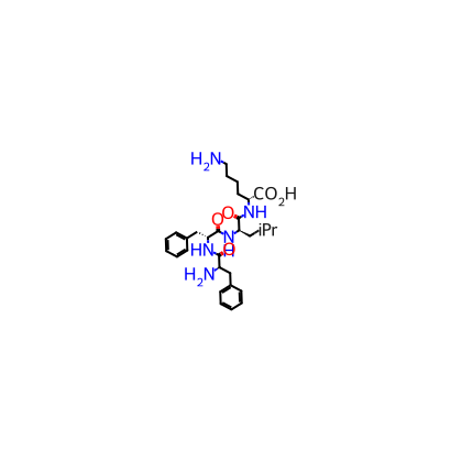 CC(C)C[C@@H](NC(=O)[C@@H](Cc1ccccc1)NC(=O)[C@H](N)Cc1ccccc1)C(=O)N[C@H](CCCCN)C(=O)O